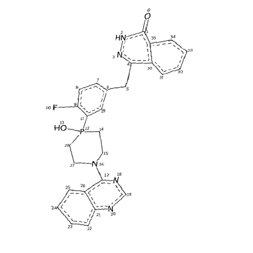 O=c1[nH]nc(Cc2ccc(F)c([P]3(O)CCN(c4ncnc5ccccc45)CC3)c2)c2ccccc12